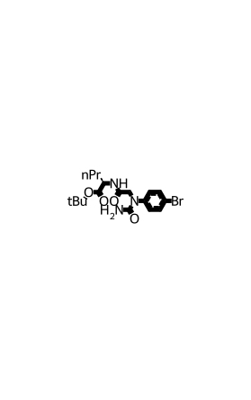 CCC[C@H](NC(=O)CN(C(N)=O)c1ccc(Br)cc1)C(=O)OC(C)(C)C